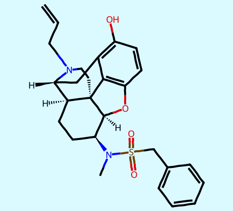 C=CCN1CC[C@@]23c4c5ccc(O)c4C[C@@H]1[C@@H]2CC[C@H](N(C)S(=O)(=O)Cc1ccccc1)[C@@H]3O5